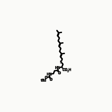 CC(C)=CCC/C(C)=C/CC/C(C)=C/CSC[C@H](NC(=O)CCNC(=O)OC(C)(C)C)C(=O)O